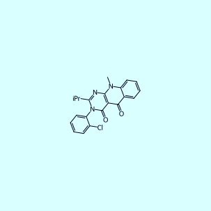 CC(C)c1nc2c(c(=O)c3ccccc3n2C)c(=O)n1-c1ccccc1Cl